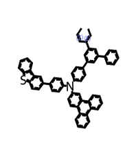 C/C=C\C(=C/C)c1cc(-c2ccccc2)cc(-c2ccc(N(c3ccc(-c4ccc5sc6ccccc6c5c4)cc3)c3ccc4c5ccccc5c5ccccc5c4c3)cc2)c1